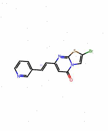 O=c1cc(/C=C/c2cccnc2)nc2sc(Br)cn12